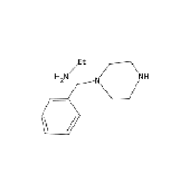 CCN.c1ccc(CN2CCNCC2)cc1